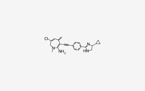 C=C1C=C(Cl)CN(C)C(N)=C1C#Cc1ccc(C2=NC(C3CC3)CN2)cc1